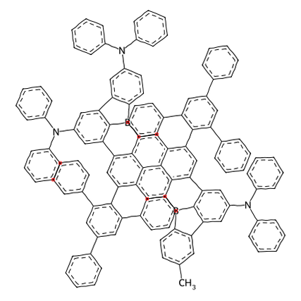 Cc1ccc2c(c1)-c1cc(N(c3ccccc3)c3ccccc3)cc3c1B2c1cc2c(-c4c(-c5ccccc5)cc(-c5ccccc5)cc4-c4ccccc4)cc4c5c(cc6c(-c7c(-c8ccccc8)cc(-c8ccccc8)cc7-c7ccccc7)cc-3c1c6c25)B1c2ccc(N(c3ccccc3)c3ccccc3)cc2-c2cc(N(c3ccccc3)c3ccccc3)cc-4c21